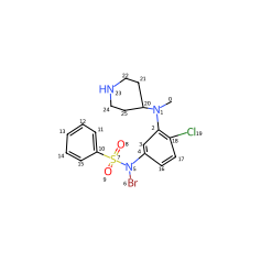 CN(c1cc(N(Br)S(=O)(=O)c2ccccc2)ccc1Cl)C1CCNCC1